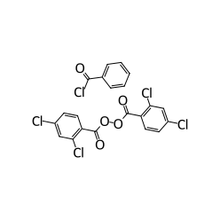 O=C(Cl)c1ccccc1.O=C(OOC(=O)c1ccc(Cl)cc1Cl)c1ccc(Cl)cc1Cl